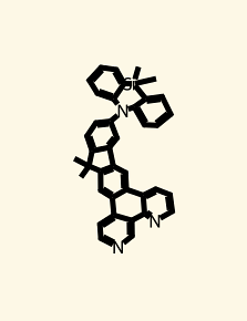 CC1(C)c2ccc(N3c4ccccc4[Si](C)(C)c4ccccc43)cc2-c2cc3c(cc21)c1ccncc1c1ncccc31